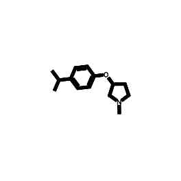 CC(C)c1ccc(OC2CCN(C)C2)cc1